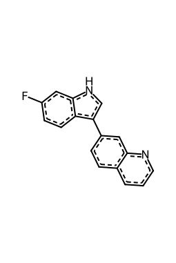 Fc1ccc2c(-c3ccc4cccnc4c3)c[nH]c2c1